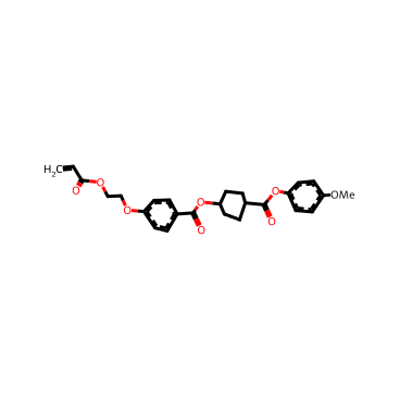 C=CC(=O)OCCOc1ccc(C(=O)OC2CCC(C(=O)Oc3ccc(OC)cc3)CC2)cc1